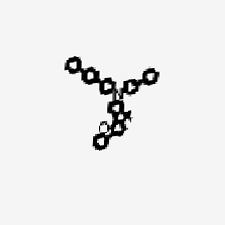 CC1(C)c2cc(N(c3ccc(-c4ccccc4)cc3)c3ccc(-c4ccc(-c5ccccc5)cc4)cc3)ccc2-c2c1ccc1c2oc2ccccc21